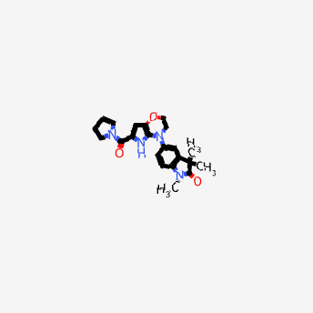 CN1C(=O)C(C)(C)c2cc(N3CCOc4cc(C(=O)N5CCCC5)[nH]c43)ccc21